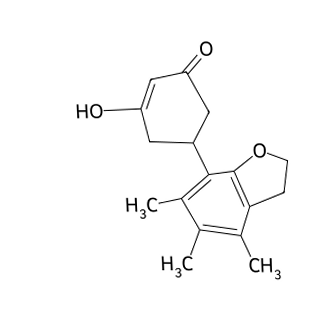 Cc1c(C)c2c(c(C3CC(=O)C=C(O)C3)c1C)OCC2